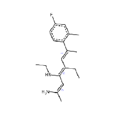 CCNC(/C=C(/C)N)=C(\C=C(/C)c1ccc(F)cc1C)CC